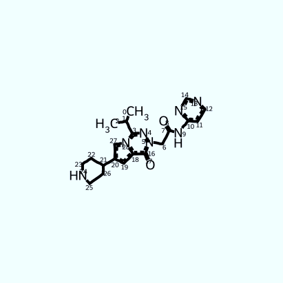 CC(C)c1nn(CC(=O)Nc2ccncn2)c(=O)c2cc(C3CCNCC3)cn12